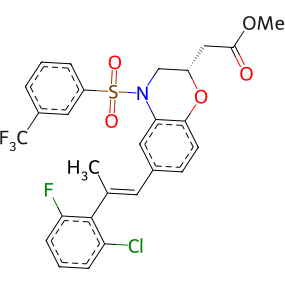 COC(=O)C[C@H]1CN(S(=O)(=O)c2cccc(C(F)(F)F)c2)c2cc(C=C(C)c3c(F)cccc3Cl)ccc2O1